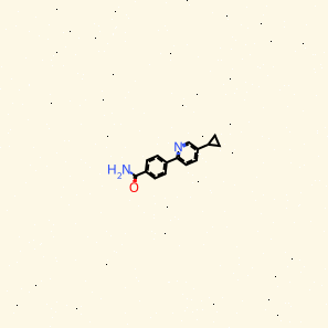 NC(=O)c1ccc(-c2ccc(C3CC3)cn2)cc1